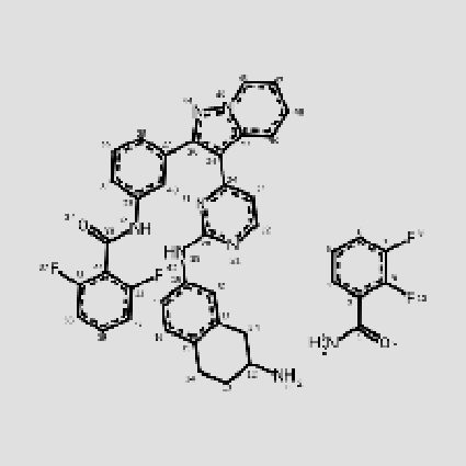 NC(=O)c1cccc(F)c1F.NC1CCc2ccc(Nc3nccc(-c4c(-c5cccc(NC(=O)c6c(F)cccc6F)c5)nn5ccccc45)n3)cc2C1